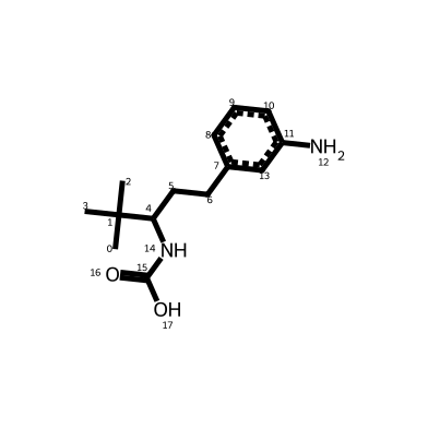 CC(C)(C)C(CCc1cccc(N)c1)NC(=O)O